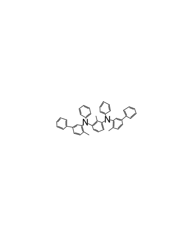 Cc1ccc(-c2ccccc2)cc1N(c1ccccc1)c1cccc(N(c2ccccc2)c2cc(-c3ccccc3)ccc2C)c1C